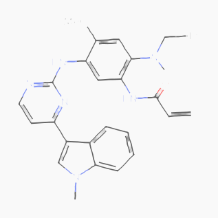 C=CC(=O)Nc1cc(Nc2nccc(-c3cn(C)c4ccccc34)n2)c(OC)cc1N(C)CC(C)C